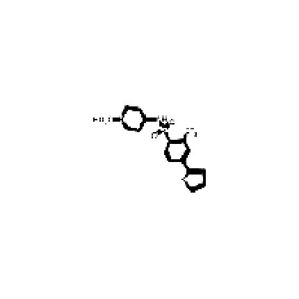 O=C(O)N1CCC(NS(=O)(=O)c2ccc(-c3cccs3)cc2C(F)(F)F)CC1